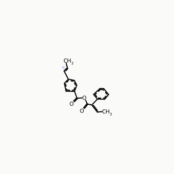 CC=C(C(=O)OC(=O)c1ccc(/C=C/C)cc1)c1ccccc1